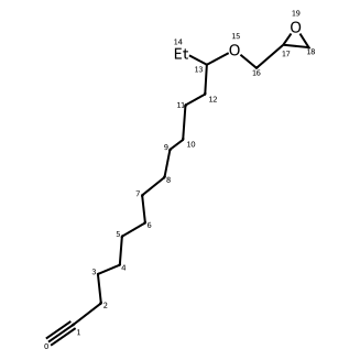 C#CCCCCCCCCCCCC(CC)OCC1CO1